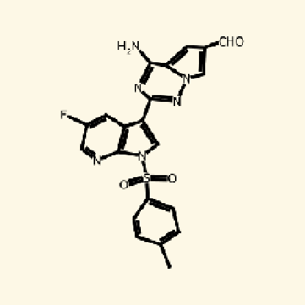 Cc1ccc(S(=O)(=O)n2cc(-c3nc(N)c4cc(C=O)cn4n3)c3cc(F)cnc32)cc1